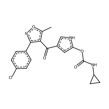 Cc1onc(-c2ccc(Cl)cc2)c1C(=O)c1c[nH]c(OC(=O)NC2CC2)c1